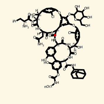 CCCCCCCCNC(=O)Oc1cc(O)c2c(c1)[C@@H](C(=O)NC1C3CC4CC(C3)CC1C4)NC(=O)[C@H]1NC(=O)[C@H](NC(=O)[C@@H]3NC(=O)[C@H](CC(N)=O)NC(=O)[C@H](NC(=O)[C@H](N)CC(C)C)[C@H](O)c4ccc(c(Cl)c4)Oc4cc3cc(c4OC3OC(CO)C(O)C(O)C3O)Oc3ccc(cc3Cl)[C@H]1O)c1ccc(O)c-2c1